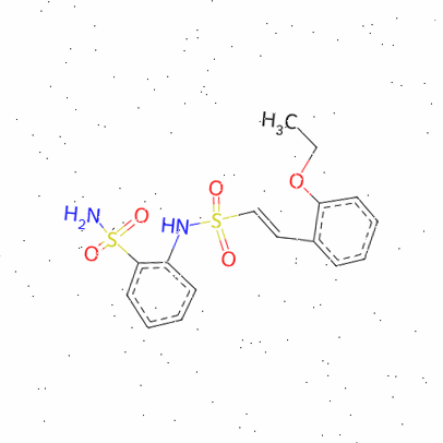 CCOc1ccccc1C=CS(=O)(=O)Nc1ccccc1S(N)(=O)=O